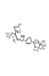 CC(C)(C)OC(=O)N1C2=C[C@@H]2C[C@H]1c1nc(-c2ccc(B3OC(C)(C)C(C)(C)O3)cc2)c[nH]1